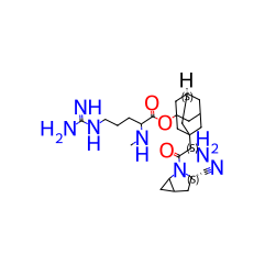 CNC(CCCNC(=N)N)C(=O)OC12CC3C[C@H](C1)CC([C@H](N)C(=O)N1C4CC4C[C@H]1C#N)(C3)C2